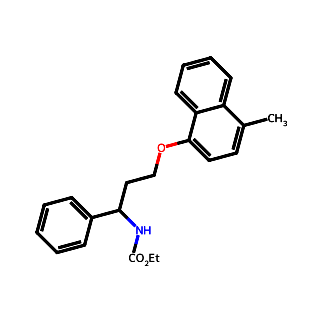 CCOC(=O)NC(CCOc1ccc(C)c2ccccc12)c1ccccc1